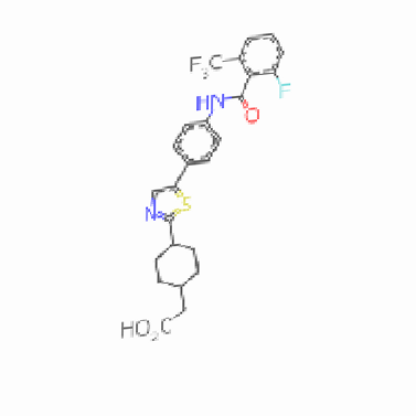 O=C(O)CC1CCC(c2ncc(-c3ccc(NC(=O)c4c(F)cccc4C(F)(F)F)cc3)s2)CC1